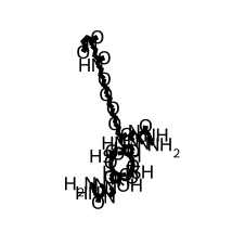 Nc1nc2c(ncn2[C@@H]2O[C@@H]3COP(=O)(S)O[C@H]4[C@@H](NC(=O)CCOCCOCCOCCOCCNC(=O)CCN5C(=O)C=CC5=O)[C@H](n5cnc6c(=O)[nH]c(N)nc65)O[C@@H]4COP(=O)(S)O[C@H]3[C@H]2O)c(=O)[nH]1